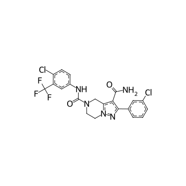 NC(=O)c1c(-c2cccc(Cl)c2)nn2c1CN(C(=O)Nc1ccc(Cl)c(C(F)(F)F)c1)CC2